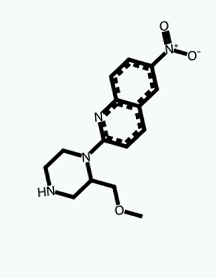 COCC1CNCCN1c1ccc2cc([N+](=O)[O-])ccc2n1